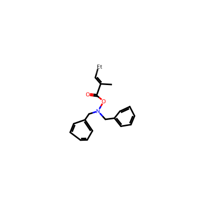 CC/C=C(\C)C(=O)ON(Cc1ccccc1)Cc1ccccc1